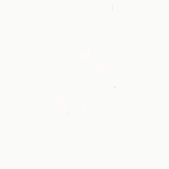 CCC1CCC(C(=O)Oc2ccc(OC(=O)C3CCC(CC)CC3)c3c2C2CCC3C2)CC1